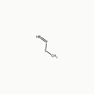 B=PSC